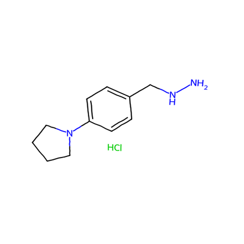 Cl.NNCc1ccc(N2CCCC2)cc1